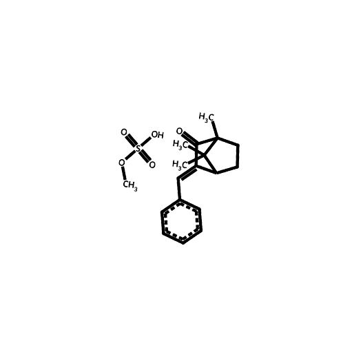 CC12CCC(C(=Cc3ccccc3)C1=O)C2(C)C.COS(=O)(=O)O